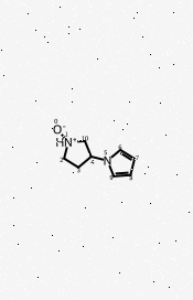 [O-][NH+]1CCC(n2cccc2)C1